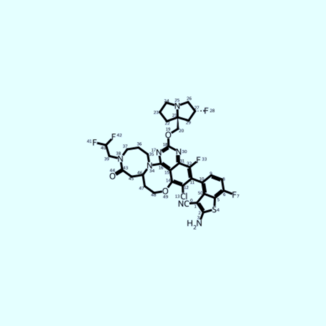 N#Cc1c(N)sc2c(F)ccc(-c3c(Cl)c4c5c(nc(OC[C@@]67CCCN6C[C@H](F)C7)nc5c3F)N3CCCN(CC(F)F)C(=O)CC3CCO4)c12